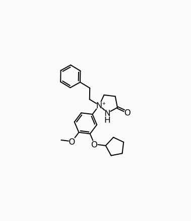 COc1ccc([N+]2(CCc3ccccc3)CCC(=O)N2)cc1OC1CCCC1